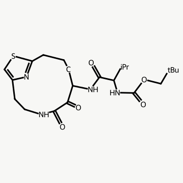 CC(C)C(NC(=O)OCC(C)(C)C)C(=O)NC1CCCc2nc(cs2)CCNC(=O)C1=O